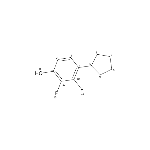 Oc1ccc(C2CCCC2)c(F)c1F